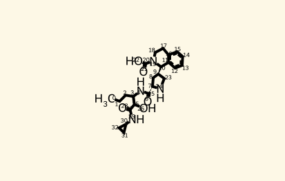 CCCC(NC(=O)[C@@H]1C[C@@H](C2c3ccccc3CCN2C(=O)O)CN1)C(O)C(=O)NC1CC1